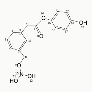 O=C(Cc1cccc(CON(O)O)c1)Oc1ccc(O)cc1